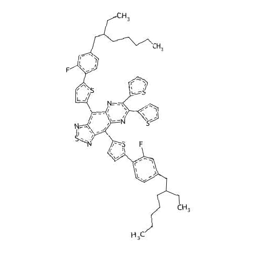 CCCCCC(CC)Cc1ccc(-c2ccc(-c3c4nsnc4c(-c4ccc(-c5ccc(CC(CC)CCCCC)cc5F)s4)c4nc(-c5cccs5)c(-c5cccs5)nc34)s2)c(F)c1